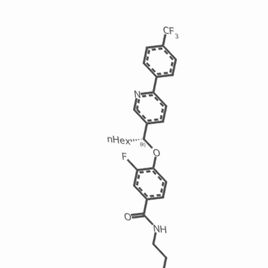 CCCCCC[C@@H](Oc1ccc(C(=O)NCCC(=O)O)cc1F)c1ccc(-c2ccc(C(F)(F)F)cc2)nc1